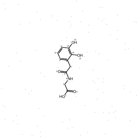 O=C(O)CNC(=O)Cc1cccc(O)c1O